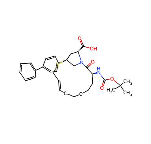 CC(C)(C)OC(=O)N[C@H]1CCCCC/C=C/CS[C@@]2(c3ccc(-c4ccccc4)cc3)C[C@@H](C(=O)O)N(C2)C1=O